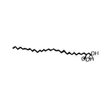 CCCCCCCCCCCCCCCCCCCCCCCCCCCCCCC(CC(=O)O)C(=O)O